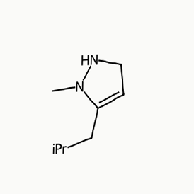 CC(C)CC1=CCNN1C